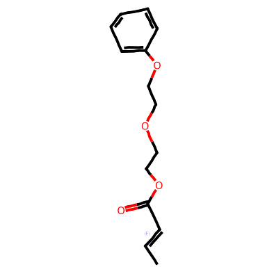 C/C=C/C(=O)OCCOCCOc1ccccc1